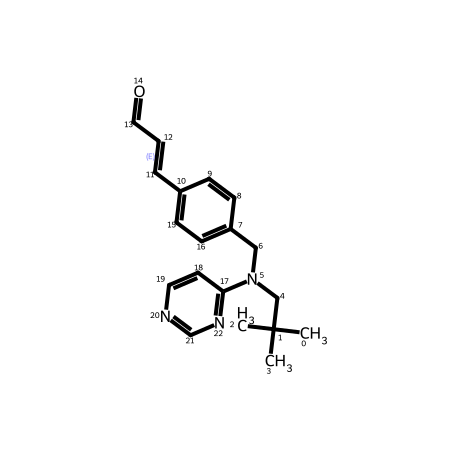 CC(C)(C)CN(Cc1ccc(/C=C/C=O)cc1)c1ccncn1